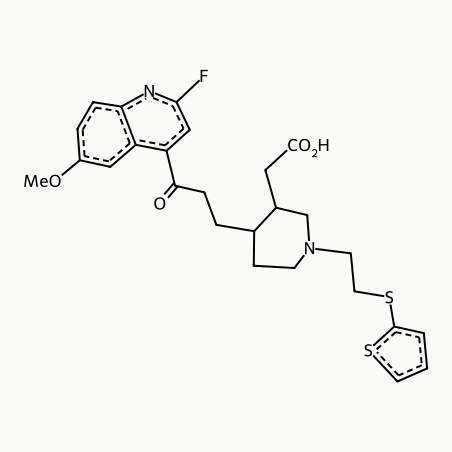 COc1ccc2nc(F)cc(C(=O)CCC3CCN(CCSc4cccs4)CC3CC(=O)O)c2c1